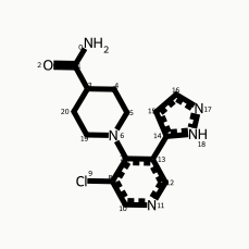 NC(=O)C1CCN(c2c(Cl)cncc2-c2ccn[nH]2)CC1